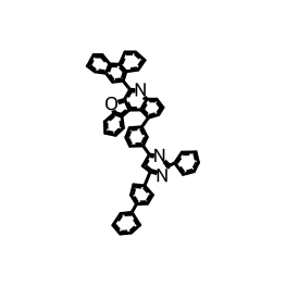 c1ccc(-c2ccc(-c3cc(-c4cccc(-c5cccc6nc(-c7cc8ccccc8c8ccccc78)c7oc8ccccc8c7c56)c4)nc(-c4ccccc4)n3)cc2)cc1